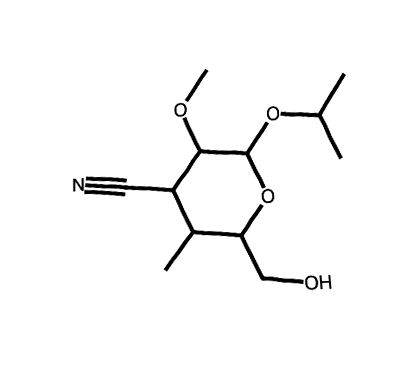 COC1C(OC(C)C)OC(CO)C(C)C1C#N